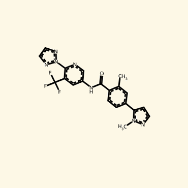 Cc1cc(-c2ccnn2C)ccc1C(=O)Nc1cnc(-n2nccn2)c(C(F)(F)F)c1